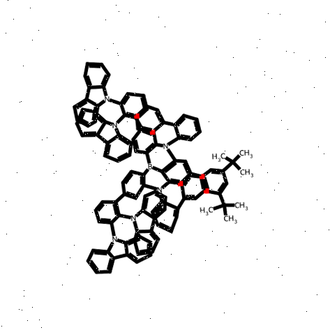 CC(C)(C)c1cc(-c2cc3c4c(c2)N(c2ccccc2-c2ccccc2)c2cc(-c5cccc(-n6c7ccccc7c7ccccc76)c5-n5c6ccccc6c6ccccc65)ccc2B4c2ccc(-c4cccc(-n5c6ccccc6c6ccccc65)c4-n4c5ccccc5c5ccccc54)cc2N3c2ccccc2-c2ccccc2)cc(C(C)(C)C)c1